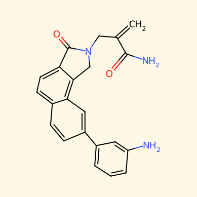 C=C(CN1Cc2c(ccc3ccc(-c4cccc(N)c4)cc23)C1=O)C(N)=O